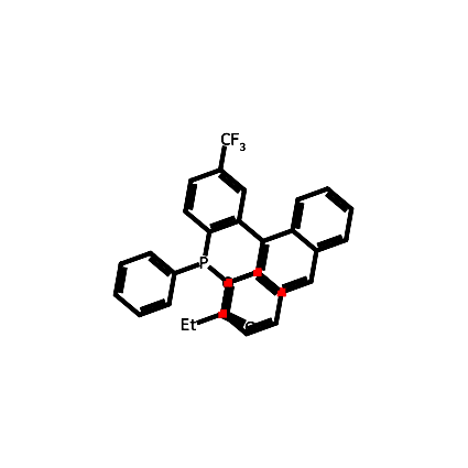 CCC(=O)Oc1ccc2ccccc2c1-c1cc(C(F)(F)F)ccc1P(c1ccccc1)c1ccccc1